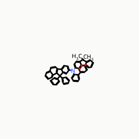 CC1(C)c2ccccc2-c2cc(N(c3ccc4c(c3)C(c3ccccc3)(c3ccccc3)c3c-4ccc4ccccc34)c3ccccc3-c3ccccc3)ccc21